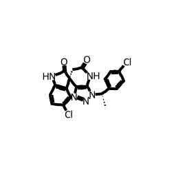 C[C@@H](c1ccc(Cl)cc1)n1nnc2c1NC(=O)C[C@]21C(=O)Nc2ccc(Cl)cc21